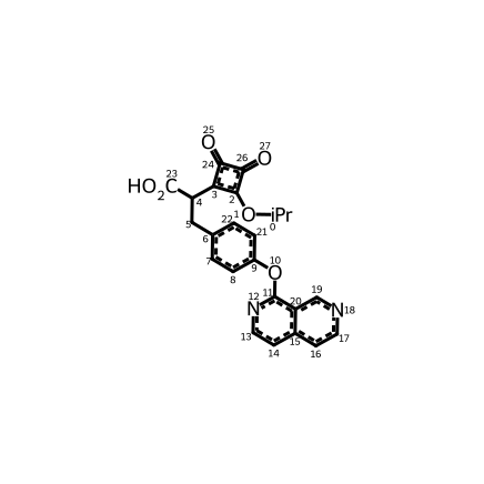 CC(C)Oc1c(C(Cc2ccc(Oc3nccc4ccncc34)cc2)C(=O)O)c(=O)c1=O